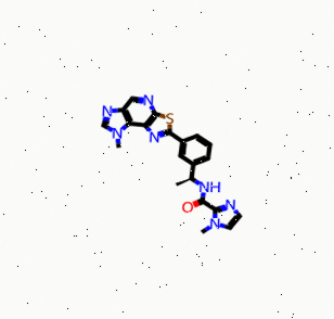 C[C@H](NC(=O)c1nccn1C)c1cccc(-c2nc3c(ncc4ncn(C)c43)s2)c1